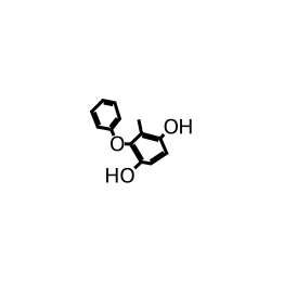 Cc1c(O)ccc(O)c1Oc1ccccc1